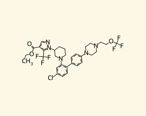 CCOC(=O)c1cnn(C2CCCN(c3cc(Cl)ccc3-c3ccc(N4CCN(CCOC(F)(F)F)CC4)cc3)C2)c1C(F)(F)F